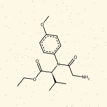 CCOC(=O)[C@H](C(C)C)N(C(=O)CN)c1ccc(OC)cc1